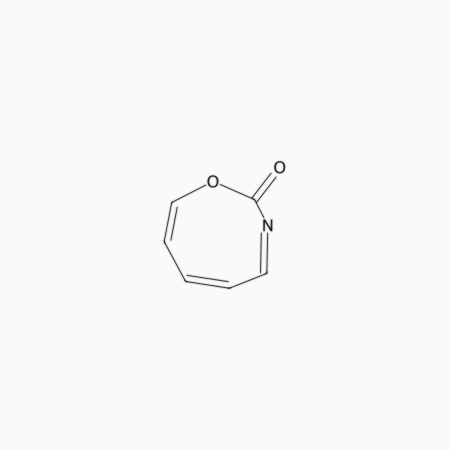 O=C1N=CC=CC=CO1